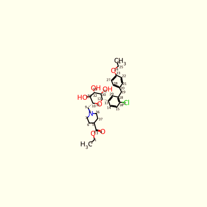 CCOC(=O)C1CCN(C[C@H]2O[C@@H](c3ccc(Cl)c(Cc4ccc(OCC)cc4)c3)[C@H](O)[C@@H](O)[C@@H]2O)CC1